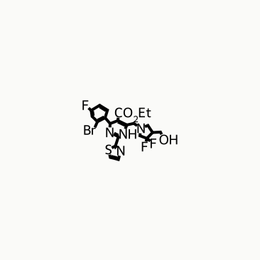 CCOC(=O)C1=C(CN2CC(CO)C(F)(F)C2)NC(c2nccs2)=NC1c1ccc(F)cc1Br